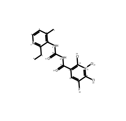 CCc1nccc(C)c1NC(=O)NC(=O)c1cc(F)c(Cl)[n+]([O-])c1Cl